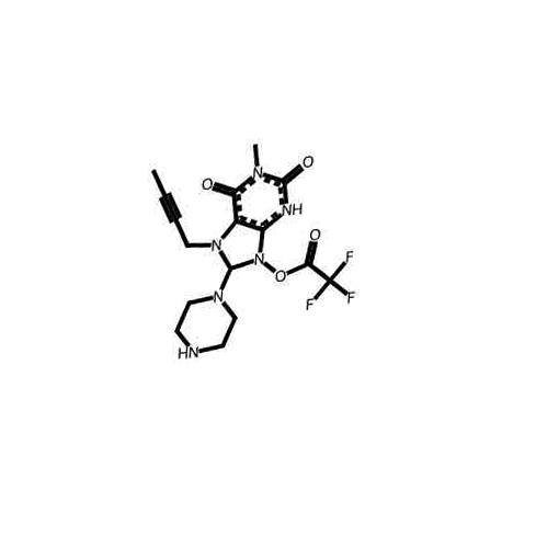 CC#CCN1c2c([nH]c(=O)n(C)c2=O)N(OC(=O)C(F)(F)F)C1N1CCNCC1